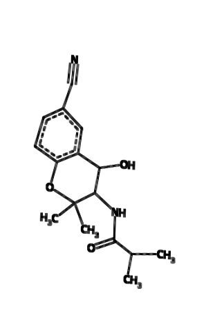 CC(C)C(=O)NC1C(O)c2cc(C#N)ccc2OC1(C)C